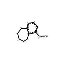 O=Pc1cccc2c1CCCCC2